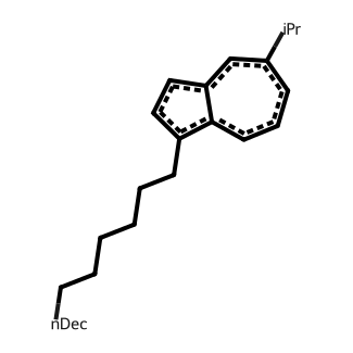 CCCCCCCCCCCCCCCCc1ccc2cc(C(C)C)cccc1-2